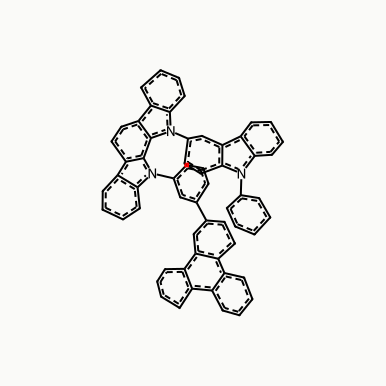 c1ccc(-n2c3ccccc3c3cc(-n4c5ccccc5c5ccc6c7ccccc7n(-c7cccc(-c8ccc9c%10ccccc%10c%10ccccc%10c9c8)c7)c6c54)ccc32)cc1